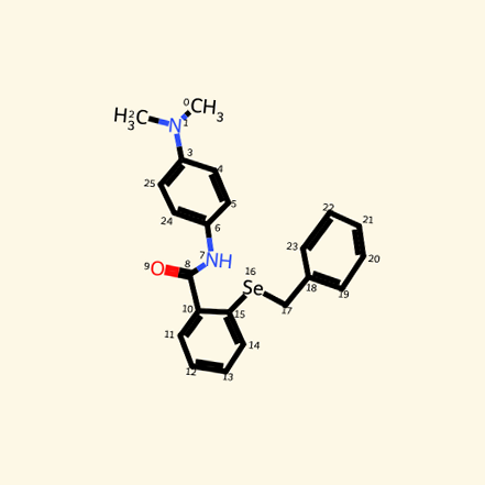 CN(C)c1ccc(NC(=O)c2ccccc2[Se]Cc2ccccc2)cc1